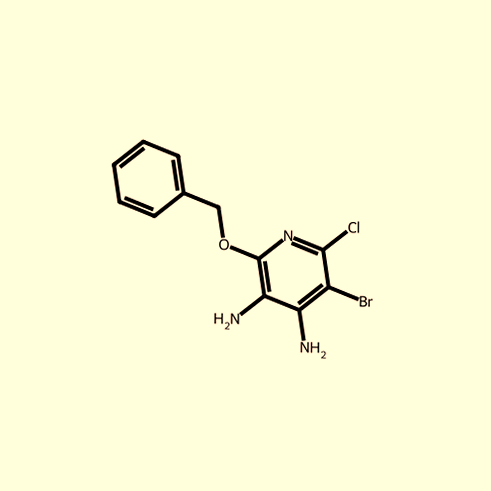 Nc1c(OCc2ccccc2)nc(Cl)c(Br)c1N